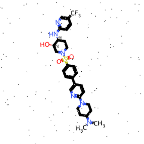 CN(C)C1CCN(c2ccc(-c3ccc(S(=O)(=O)N4CC[C@@H](Nc5ccc(C(F)(F)F)cn5)[C@@H](O)C4)cc3)cn2)CC1